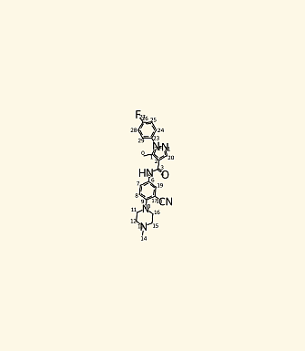 Cc1c(C(=O)Nc2ccc(N3CCN(C)CC3)c(C#N)c2)cnn1-c1ccc(F)cc1